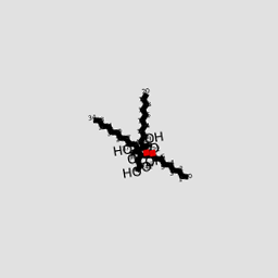 CCCCCCCCCCC(CCCCCCCCCC)(C(=O)O)C(CCCCCCCCCC)(C(=O)O)C(CC(=O)O)C(=O)O